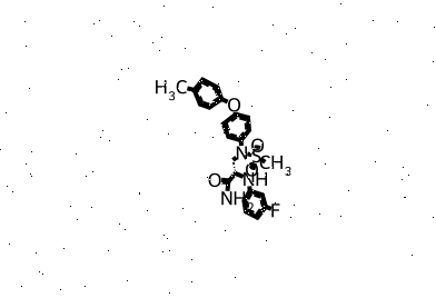 Cc1ccc(Oc2ccc(N(C[C@H](Nc3cccc(F)c3)C(N)=O)S(C)(=O)=O)cc2)cc1